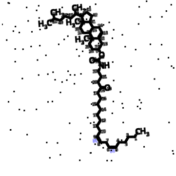 CCCCC/C=C\C/C=C\CCCCCCCCC(=O)CCCNC(=O)O[C@H]1CC[C@@]2(C)C(=CCC3C2CC[C@@]2(C)C3CC[C@@H]2[C@H](C)CCCC(C)C)C1